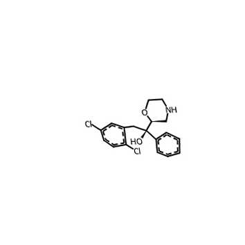 O[C@](Cc1cc(Cl)ccc1Cl)(c1ccccc1)[C@@H]1CNCCO1